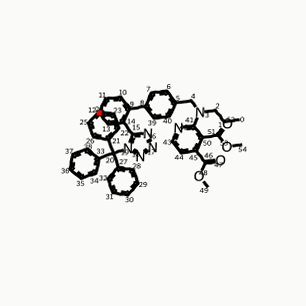 CCCN(Cc1ccc(-c2ccccc2-c2nnnn2C(c2ccccc2)(c2ccccc2)c2ccccc2)cc1)c1nccc(C(=O)OC)c1C(=O)OC